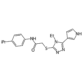 CCn1c(SCC(=O)Nc2ccc(C(C)C)cc2)nnc1-c1cc[nH]c1